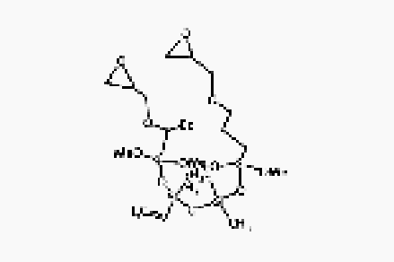 C=C[Si](C)(O[Si](C)(C)O[Si](CCCOCC1CO1)(OC)OC)O[Si](OC)(OC)C(CC)OCC1CO1